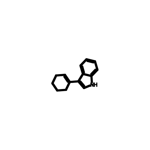 C1=C(c2c[nH]c3ccccc23)CCCC1